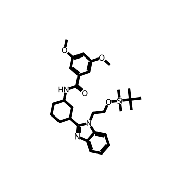 COc1cc(OC)cc(C(=O)NC2CCCC(c3nc4ccccc4n3CCO[Si](C)(C)C(C)(C)C)C2)c1